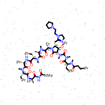 CC[C@@H](C(=O)N(C)[C@H](C)C(=O)N(C)[C@@H](CC(C)C)C(=O)N[C@H](C(=O)N(C)[C@@H](CC(C)C)C(=O)N[C@H](C)C(=O)NC(=O)NC)C(C)C)N1C(=O)[C@@H](N(C)C(=O)N(C)C(=O)[C@H](CC(C)C)N(C)C(=O)CCC(C)C)[C@H](OC(C)C)[C@H]1CC1=NCCN1CCN1CCCC1